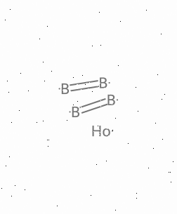 [B]=[B].[B]=[B].[Ho]